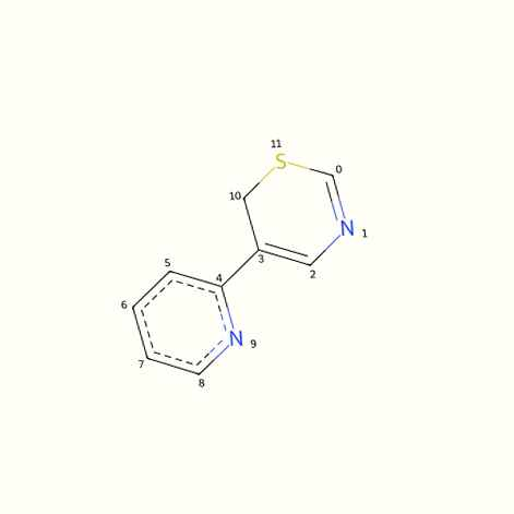 C1=NC=C(c2ccccn2)CS1